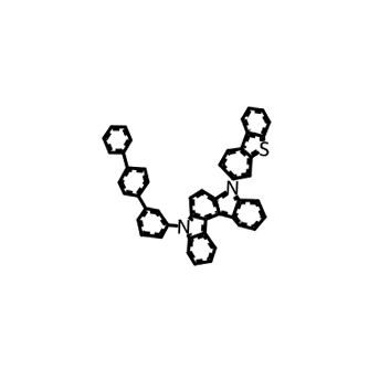 c1ccc(-c2ccc(-c3cccc(-n4c5ccccc5c5c6c7ccccc7n(-c7ccc8c(c7)sc7ccccc78)c6ccc54)c3)cc2)cc1